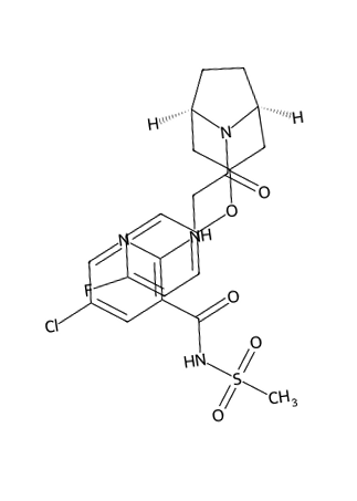 CS(=O)(=O)NC(=O)c1cc(Cl)cnc1NCC(=O)N1[C@@H]2CC[C@H]1CC(Oc1ccc(F)cc1)C2